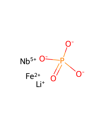 O=P([O-])([O-])[O-].[Fe+2].[Li+].[Nb+5]